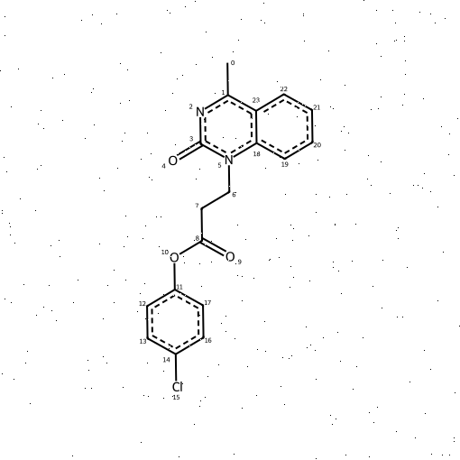 Cc1nc(=O)n(CCC(=O)Oc2ccc(Cl)cc2)c2ccccc12